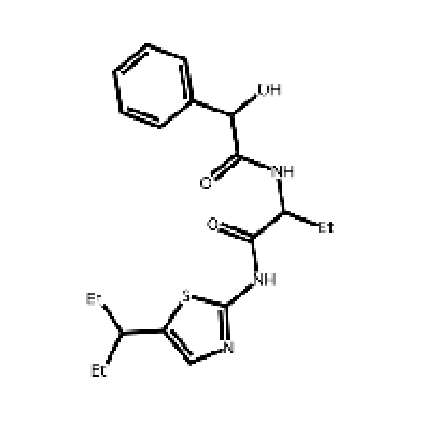 CCC(NC(=O)C(O)c1ccccc1)C(=O)Nc1ncc(C(CC)CC)s1